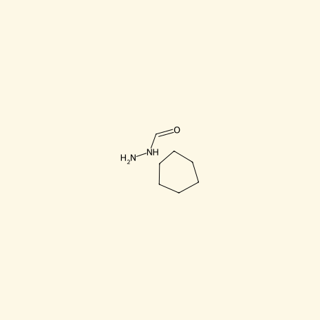 C1CCCCC1.NNC=O